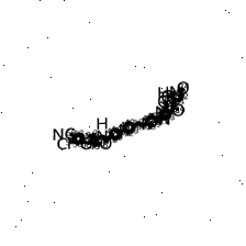 CC1(C)C(NC(=O)c2ccc(N3CCC(CCN4CCN(c5ncc6c(n5)C(=O)N(C5CCC(=O)NC5=O)C6=O)CC4)CC3)cc2)C(C)(C)C1Oc1ccc(C#N)c(Cl)c1